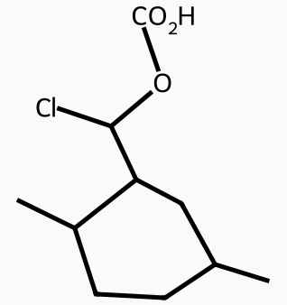 CC1CCC(C)C(C(Cl)OC(=O)O)C1